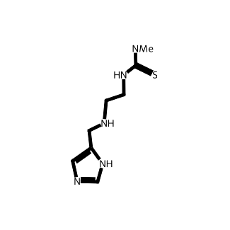 CNC(=S)NCCNCc1cnc[nH]1